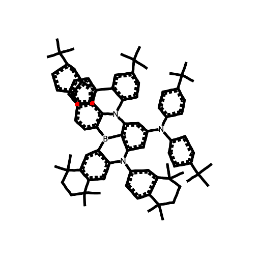 CC(C)(C)c1ccc(N(c2ccc(C(C)(C)C)cc2)c2cc3c4c(c2)N(c2ccc(C(C)(C)C)cc2-c2ccccc2)c2c(ccc5c2sc2cc(C(C)(C)C)ccc25)B4c2cc4c(cc2N3c2ccc3c(c2)C(C)(C)CCC3(C)C)C(C)(C)CCC4(C)C)cc1